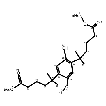 CCCCCCOC(=O)CCCC(C)(C)c1cc(OCC)c(C(C)(C)CCCC(=O)OC)cc1O